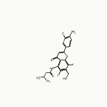 CN(C)CC(=O)Nc1c(F)c(CO)c(F)c2oc(-c3ccc(N)c(F)c3)cc(=O)c12